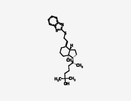 C[C@H](CCCC(C)(C)O)[C@H]1CC[C@H]2/C(=C/CSc3nc4ccccc4s3)CCC[C@]12C